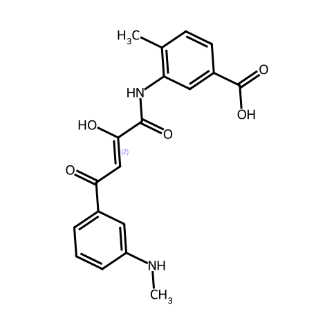 CNc1cccc(C(=O)/C=C(\O)C(=O)Nc2cc(C(=O)O)ccc2C)c1